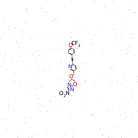 O=[N+]([O-])c1cn2c(n1)OC[C@@H](OCc1ccc(C#Cc3ccc(OC(F)(F)F)cc3)nc1)C2